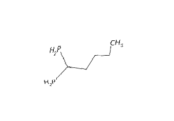 CCCCC(P)P